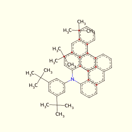 CC(C)(C)c1cc(-c2cccc3cccc(-c4ccccc4N(c4cc(C(C)(C)C)cc(C(C)(C)C)c4)c4ccccc4-c4ccc(-c5ccccc5)cc4)c23)cc(C(C)(C)C)c1